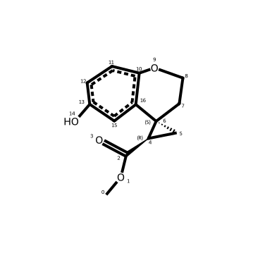 COC(=O)[C@@H]1C[C@]12CCOc1ccc(O)cc12